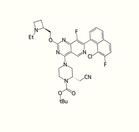 CCN1CC[C@H]1COc1nc(N2CCN(C(=O)OC(C)(C)C)[C@@H](CC#N)C2)c2cnc(-c3cccc4ccc(F)c(Cl)c34)c(F)c2n1